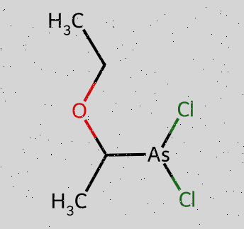 CCOC(C)[As](Cl)Cl